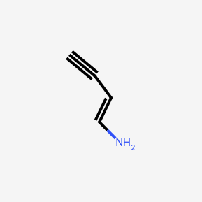 C#C/C=C/N